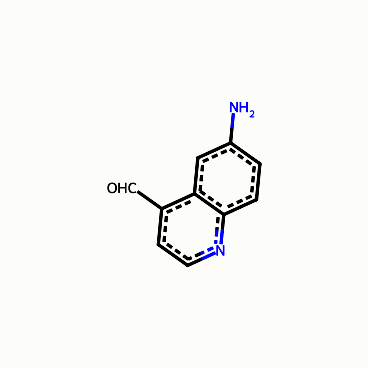 Nc1ccc2nccc(C=O)c2c1